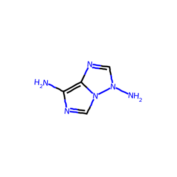 Nc1ncn2c1ncn2N